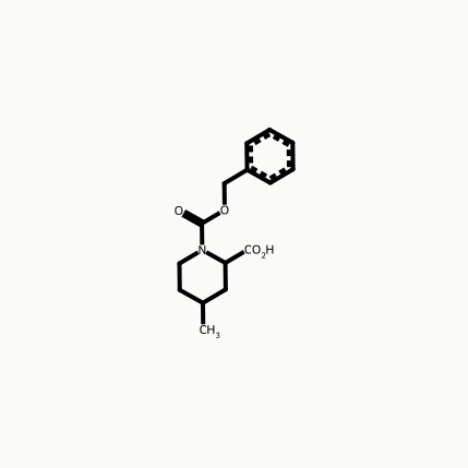 CC1CCN(C(=O)OCc2ccccc2)C(C(=O)O)C1